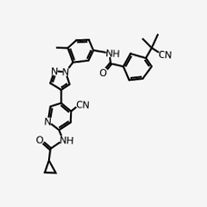 Cc1ccc(NC(=O)c2cccc(C(C)(C)C#N)c2)cc1-n1cc(-c2cnc(NC(=O)C3CC3)cc2C#N)cn1